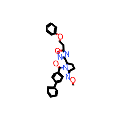 CON=C1CCC(c2noc(CCOc3ccccc3)n2)N1C(=O)c1ccc(-c2ccccc2)cc1